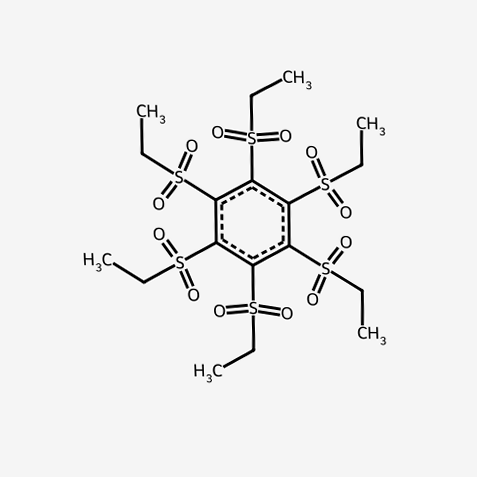 CCS(=O)(=O)c1c(S(=O)(=O)CC)c(S(=O)(=O)CC)c(S(=O)(=O)CC)c(S(=O)(=O)CC)c1S(=O)(=O)CC